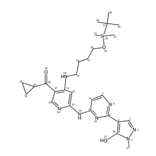 Cn1ncc(-c2nccc(Nc3cc(NCCCCO[Si](C)(C)C(C)(C)C)c(C(=O)C4CC4)cn3)n2)c1O